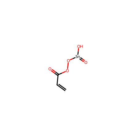 C=CC(=O)O[O][Sn](=[O])[OH]